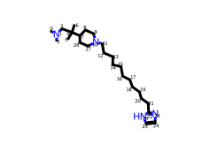 CN(C)CC(C)(C)C1CCN(CCCCCCCCCCCc2ncc[nH]2)CC1